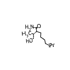 CC(C)CCCCC(C(N)=O)C(C)CO